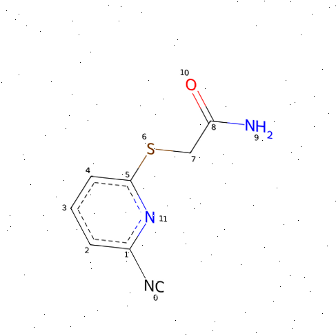 [C-]#[N+]c1cccc(SCC(N)=O)n1